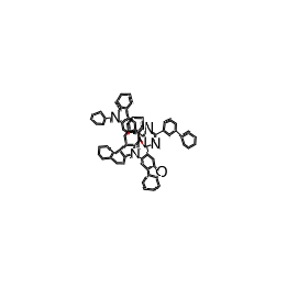 c1ccc(-c2cccc(-c3nc(-c4ccc5c(c4)c4ccccc4n5-c4ccccc4)nc(-c4cc5oc6ccccc6c5cc4-n4c5cc6ccccc6cc5c5c6ccccc6ccc54)n3)c2)cc1